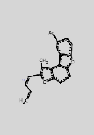 C=C/C=C\c1oc2ccc3oc4ccc(C(C)=O)cc4c3c2c1C